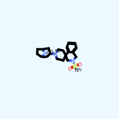 CCCS(=O)(=O)N1Cc2ccccc2C2(CCN(C3CC4CCC(C3)N4C(=O)OCC)CC2)C1